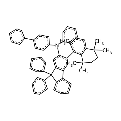 Cc1ccc2c(c1-c1cc3c(cc1N(c1ccccc1)c1ccc(-c4ccccc4)cc1)C(c1ccccc1)(c1ccccc1)c1ccccc1-3)C(C)(C)CCC2(C)C